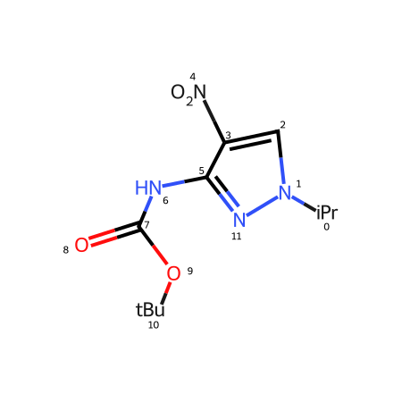 [CH2]C(C)n1cc([N+](=O)[O-])c(NC(=O)OC(C)(C)C)n1